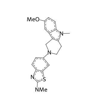 CNc1nc2ccc(N3CCc4c(c5cc(OC)ccc5n4C)C3)cc2s1